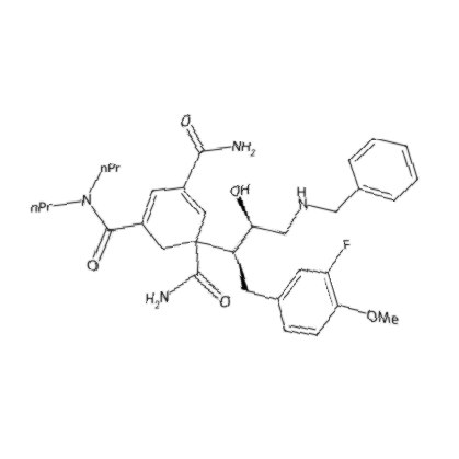 CCCN(CCC)C(=O)C1=CC(C(N)=O)=CC(C(N)=O)([C@H](Cc2ccc(OC)c(F)c2)[C@@H](O)CNCc2ccccc2)C1